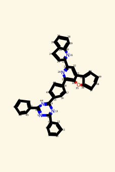 c1ccc(-c2nc(-c3ccccc3)nc(-c3ccc(-c4nc(-c5ccc6ccccc6n5)cc5c4oc4ccccc45)cc3)n2)cc1